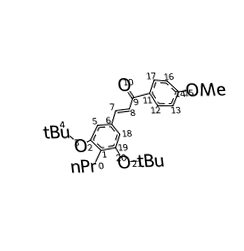 CCCc1c(OC(C)(C)C)cc(C=CC(=O)c2ccc(OC)cc2)cc1OC(C)(C)C